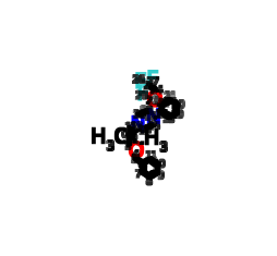 CC(C)(COCc1ccccc1)CN1CCN(c2ccccc2OCC(F)(F)F)CC1